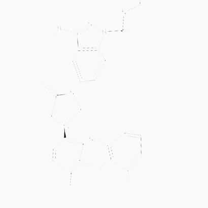 COCCNC(=O)n1nc(N)c2cc(N3C[C@@H](c4ccc(Cl)c(Oc5c(Cl)cccc5C#N)c4)CC3=O)ccc21